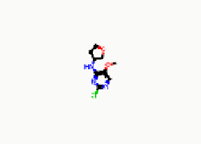 COc1cnc(Cl)nc1NC1CCOC1